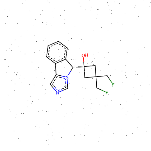 OC1([C@H]2c3ccccc3-c3cncn32)CC(CF)(CF)C1